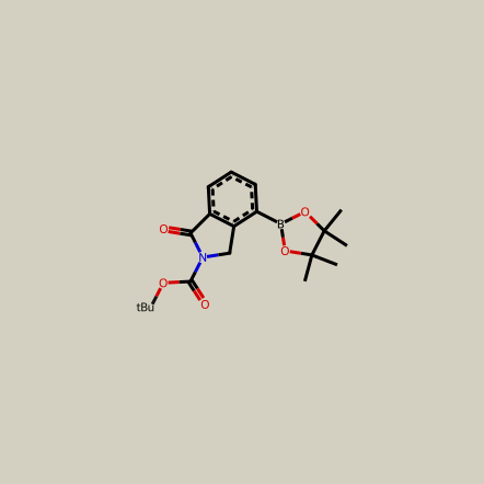 CC(C)(C)OC(=O)N1Cc2c(B3OC(C)(C)C(C)(C)O3)cccc2C1=O